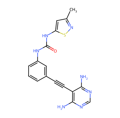 Cc1cc(NC(=O)Nc2cccc(C#Cc3c(N)ncnc3N)c2)sn1